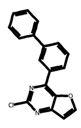 Clc1nc(-c2cccc(-c3ccccc3)c2)c2occc2n1